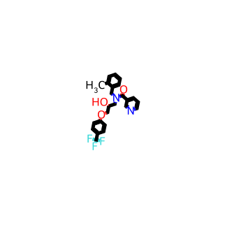 Cc1ccccc1CN(CC(O)COc1ccc(C(F)(F)F)cc1)C(=O)c1cccnc1